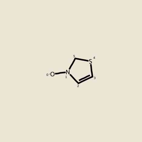 [O]N1C=CSC1